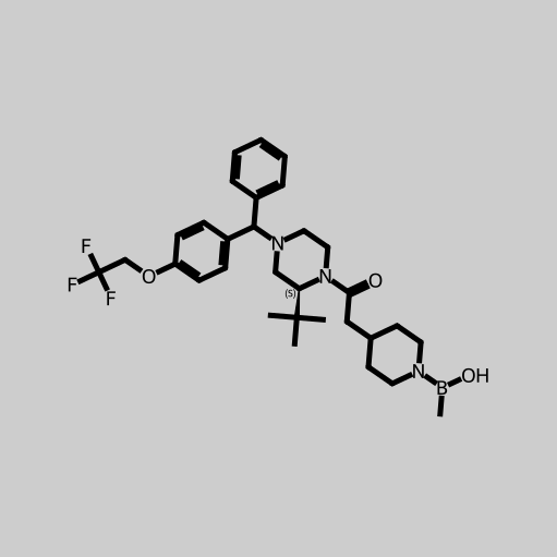 CB(O)N1CCC(CC(=O)N2CCN(C(c3ccccc3)c3ccc(OCC(F)(F)F)cc3)C[C@@H]2C(C)(C)C)CC1